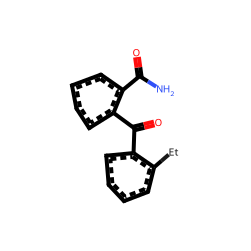 CCc1ccccc1C(=O)c1ccccc1C(N)=O